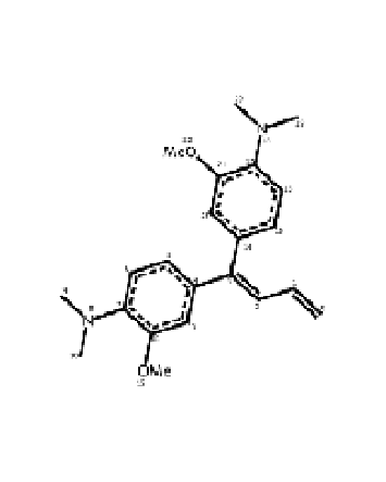 C=CC=C(c1ccc(N(C)C)c(OC)c1)c1ccc(N(C)C)c(OC)c1